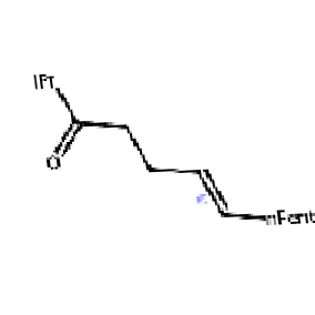 CCCCC/C=C/CCC(=O)C(C)C